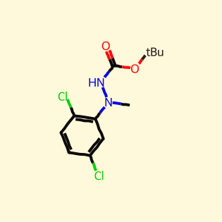 CN(NC(=O)OC(C)(C)C)c1cc(Cl)ccc1Cl